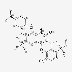 CCS(=O)(=O)c1ccc(Cl)cc1Cn1c(=O)[nH]c2c(Cl)c(CN3CCC[C@H](N(C)C)C3)c(C(F)(F)F)cc2c1=O